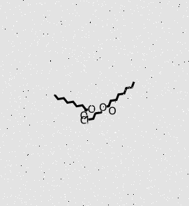 CCCCCCCC(=O)OCC(CCl)OC(=O)CCCCCCC